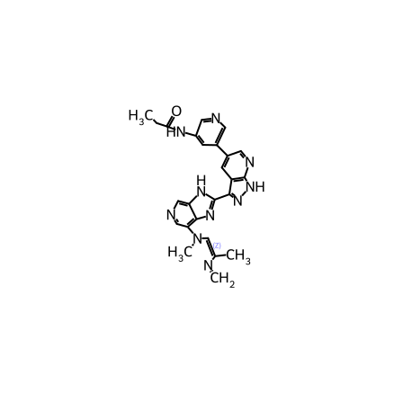 C=N/C(C)=C\N(C)c1cncc2[nH]c(-c3n[nH]c4ncc(-c5cncc(NC(=O)CC)c5)cc34)nc12